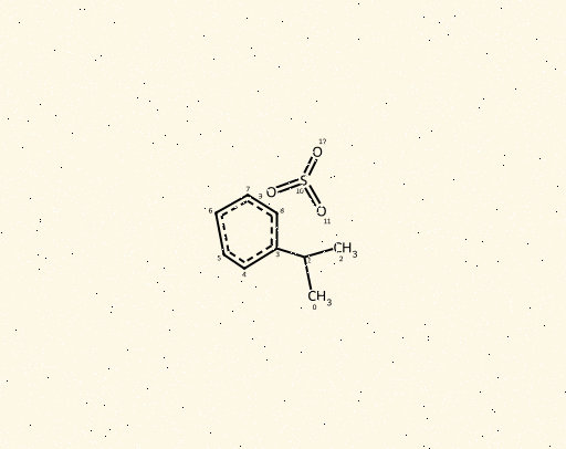 CC(C)c1ccccc1.O=S(=O)=O